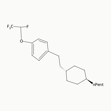 CCCCC[C@H]1CC[C@H](CCc2ccc(OC(F)C(F)(F)F)cc2)CC1